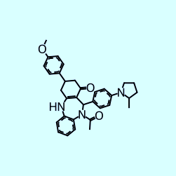 COc1ccc(C2CC(=O)C3=C(C2)Nc2ccccc2N(C(C)=O)C3c2ccc(N3CCCC3C)cc2)cc1